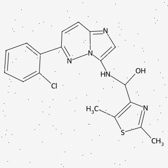 Cc1nc(C(O)Nc2cnc3ccc(-c4ccccc4Cl)nn23)c(C)s1